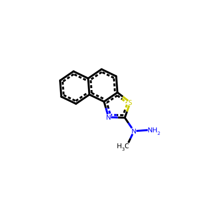 CN(N)c1nc2c(ccc3ccccc32)s1